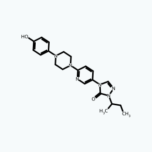 CCC(C)n1ncn(-c2ccc(N3CCN(c4ccc(O)cc4)CC3)nc2)c1=O